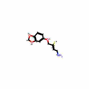 NC/C=C(\F)COc1ccc2c(c1)OCO2